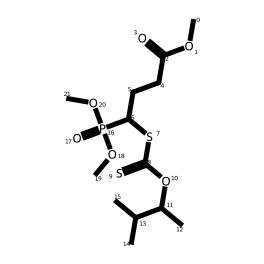 COC(=O)CCC(SC(=S)OC(C)C(C)C)P(=O)(OC)OC